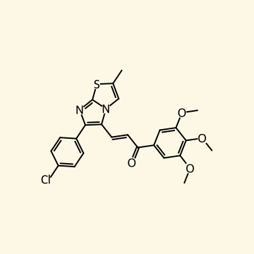 COc1cc(C(=O)/C=C/c2c(-c3ccc(Cl)cc3)nc3sc(C)cn23)cc(OC)c1OC